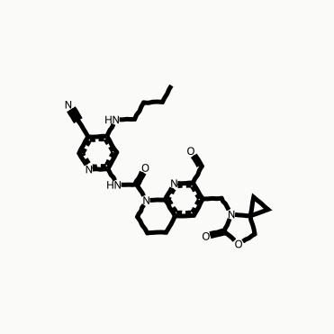 CCCCNc1cc(NC(=O)N2CCCc3cc(CN4C(=O)OCC45CC5)c(C=O)nc32)ncc1C#N